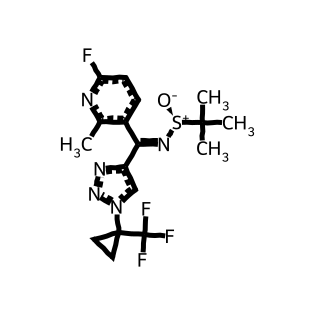 Cc1nc(F)ccc1/C(=N\[S@@+]([O-])C(C)(C)C)c1cn(C2(C(F)(F)F)CC2)nn1